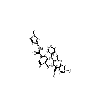 Cn1ccc(NC(=O)c2ccc(CN3C(=O)c4ccc(Cl)cc4NC(=O)C3Cc3cccnc3)cc2)n1